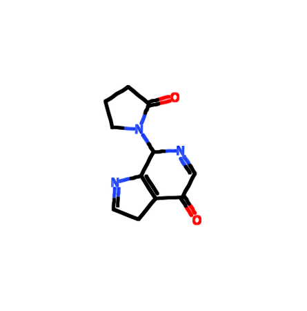 O=C1C=NC(N2CCCC2=O)C2=C1CC=N2